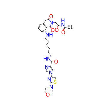 CCC(=O)NC(=O)CN1C(=O)Cc2cccc(NCCCCCCNC(=O)c3cn(-c4csc(N5CCOCC5)n4)cn3)c2C1=O